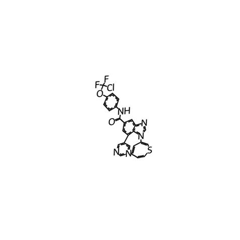 O=C(Nc1ccc(OC(F)(F)Cl)cc1)c1cc(-c2cncnc2)c2c(c1)ncn2C1=CSC=CC=C1